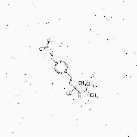 CC(C)NC(C)(C)/C=C/c1ccc(/C=C/C(=O)O)cc1